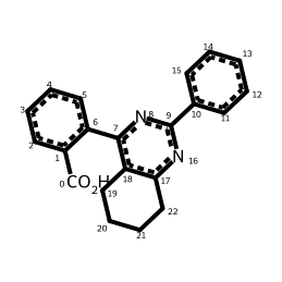 O=C(O)c1ccccc1-c1nc(-c2ccccc2)nc2c1CCCC2